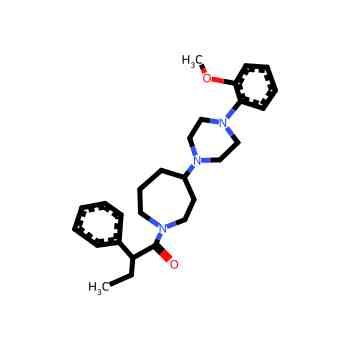 CCC(C(=O)N1CCCC(N2CCN(c3ccccc3OC)CC2)CC1)c1ccccc1